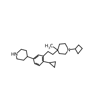 CC1(CCc2cc(C3CCNCC3)ccc2C2CC2)CCN(C2CCC2)CC1